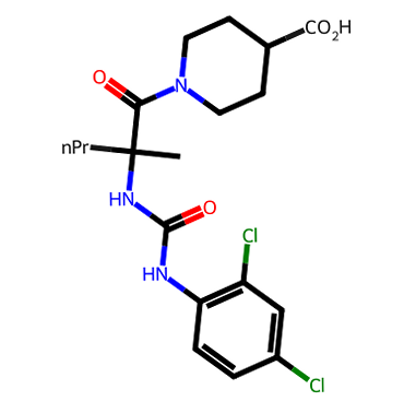 CCCC(C)(NC(=O)Nc1ccc(Cl)cc1Cl)C(=O)N1CCC(C(=O)O)CC1